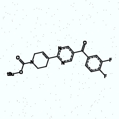 CC(C)(C)OC(=O)N1CC=C(c2ncc(C(=O)c3ccc(F)c(F)c3)cn2)CC1